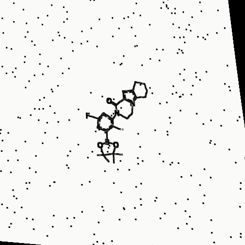 [CH2]c1c(B2OC(C)(C)C(C)(C)O2)cc(F)cc1N1CCn2c(cc3c2CCCC3)C1=O